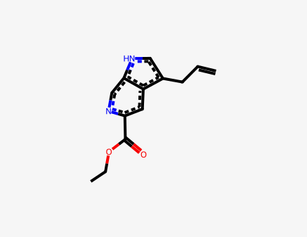 C=CCc1c[nH]c2cnc(C(=O)OCC)cc12